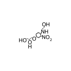 O=[N+]([O-])c1cc(OCC(O)CO)ccc1NCCO